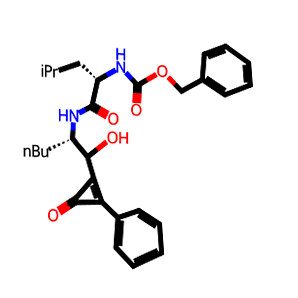 CCCC[C@H](NC(=O)[C@H](CC(C)C)NC(=O)OCc1ccccc1)C(O)c1c(-c2ccccc2)c1=O